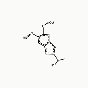 CCCCCCCCOc1cc2nc(N(C)C(C)C)sc2cc1N=N